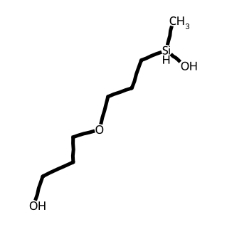 C[SiH](O)CCCOCCCO